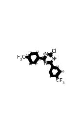 FC(F)(F)c1ccc(-c2nc(Cl)nc(-c3ccc(C(F)(F)F)cc3)n2)cc1